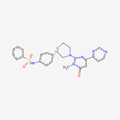 Cn1c(N2CCO[C@@H](c3ccc(NS(=O)(=O)c4ccccc4)cc3)C2)nc(-c2ccncn2)cc1=O